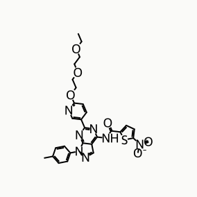 CCOCCOCCOc1ccc(-c2nc(NC(=O)c3ccc([N+](=O)[O-])s3)c3cnn(-c4ccc(C)cc4)c3n2)cn1